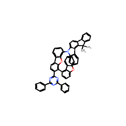 CC1(C)c2ccccc2-c2ccc3c(c21)c1ccccc1n3-c1cccc2c1oc1c(-c3cccc4oc5ccccc5c34)c(-c3nc(-c4ccccc4)nc(-c4ccccc4)n3)ccc12